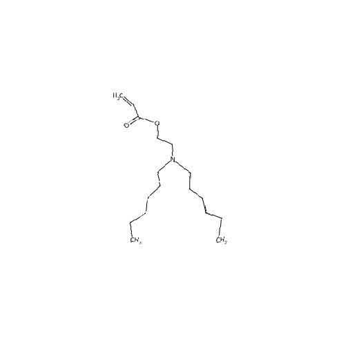 C=CC(=O)OCCN(CCCCCC)CCCCCC